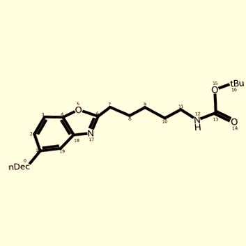 CCCCCCCCCCc1ccc2oc(CCCCCNC(=O)OC(C)(C)C)nc2c1